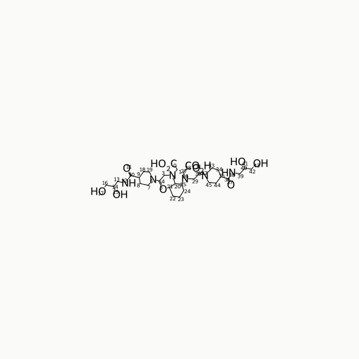 O=C(O)CN(CC(=O)N1CCC(C(=O)NCC(O)CO)CC1)C1CCCCC1N(CC(=O)O)CC(=O)N1CCC(C(=O)NCC(O)CO)CC1